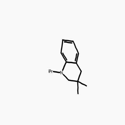 CC(C)N1CC(C)(C)Cc2ccccc21